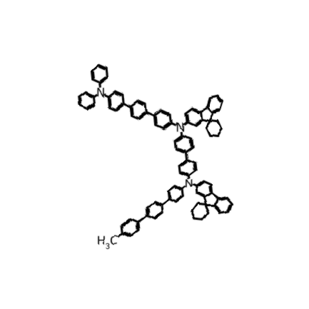 Cc1ccc(-c2ccc(-c3ccc(N(c4ccc(-c5ccc(N(c6ccc(-c7ccc(-c8ccc(N(c9ccccc9)c9ccccc9)cc8)cc7)cc6)c6ccc7c(c6)C6(CCCCC6)c6ccccc6-7)cc5)cc4)c4ccc5c(c4)C4(CCCCC4)c4ccccc4-5)cc3)cc2)cc1